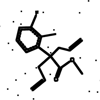 C=CCC(CC=C)(C(=O)OC)c1cccc(F)c1C